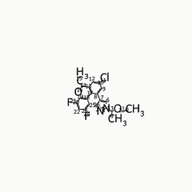 CCOC(C)n1cc(-c2cc(Cl)cc(C(C)=O)c2-c2cc(F)cc(F)c2)cn1